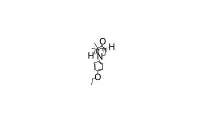 CCOc1ccc(N2C[C@H]3CC(C)(C)[C@@H]2CC3=O)cc1